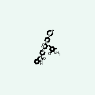 Cc1cc(C[C@@H](CC(=O)N2CCC(N3Cc4ccccc4NC3=O)CC2)C(=O)N2CCC(N3CCCN(C)CC3)CC2)cc(Cl)c1N